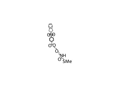 CSCC(=O)NCCOCCOC(=O)c1ccc(S(=O)(=O)C2CC3C4C=CC(C4)C3C2)cc1